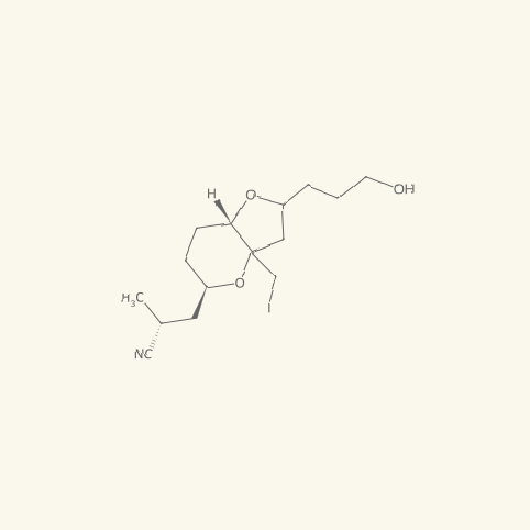 C[C@@H](C#N)C[C@H]1CC[C@@H]2OC(CCCO)CC2(CI)O1